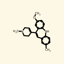 COc1ccc2c(c1)C(C1=CCN(C)CC1)=Cc1cc(C)ccc1N2